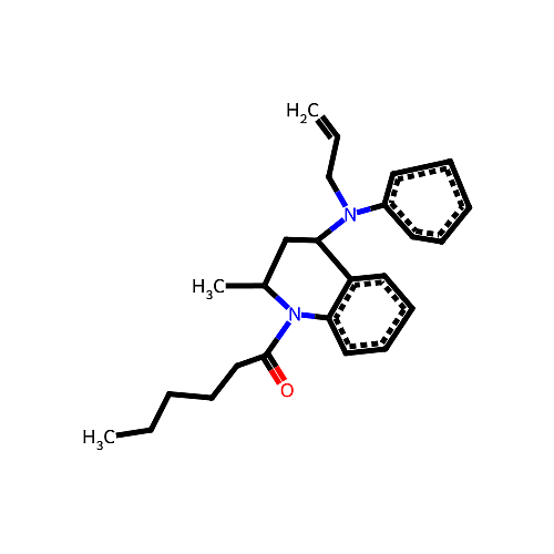 C=CCN(c1ccccc1)C1CC(C)N(C(=O)CCCCC)c2ccccc21